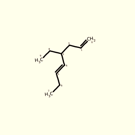 C=CCC(C=CCC)CC